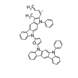 C=C/C=C\c1c(C)c2cc3c4ccccc4n(-c4ccc(-n5c6ccccc6c6cc7c8ccccc8n(-c8ccccc8)c7cc65)o4)c3cc2n1-c1ccccc1